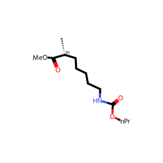 CCCOC(=O)NCCCCC[C@@H](C)C(=O)OC